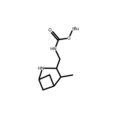 CC1C2CC(C2)NC1CNC(=O)OC(C)(C)C